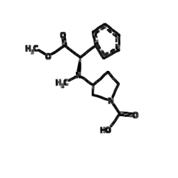 COC(=O)[C@@H](c1ccccc1)N(C)C1CCN(C(=O)O)C1